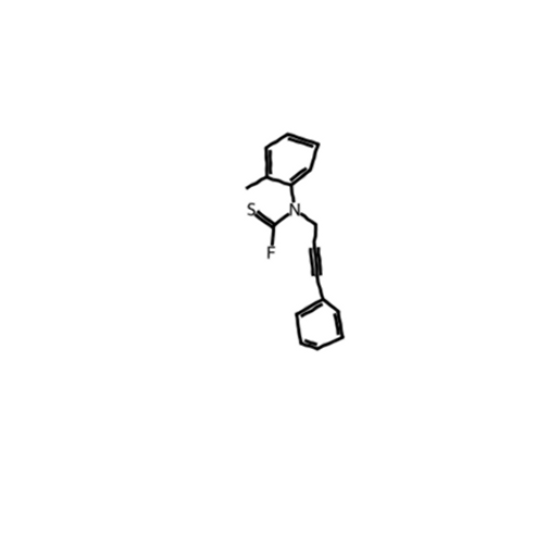 Cc1ccccc1N(CC#Cc1ccccc1)C(F)=S